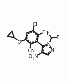 N#Cc1c(OC2CC2)cc(Cl)c(F)c1-c1c([N+](=O)[O-])cnn1C(F)F